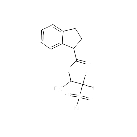 NS(=O)(=O)C(F)(F)C(OC(=O)C1CCc2ccccc21)C(F)(F)F